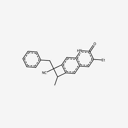 CCc1cc2cc3c(cc2[nH]c1=O)C(C#N)(Cc1ccccc1)C3C